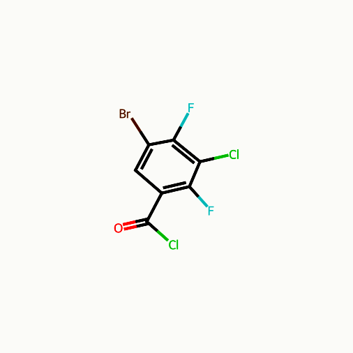 O=C(Cl)c1cc(Br)c(F)c(Cl)c1F